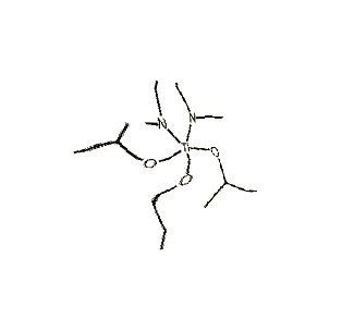 CC[O][Ti]([O]C(C)C)([O]C(C)C)([N](C)C)[N](C)C